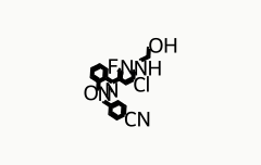 N#Cc1ccc(Cn2nc(-c3cc(Cl)c(NCCCO)nc3F)c3ccccc3c2=O)cc1